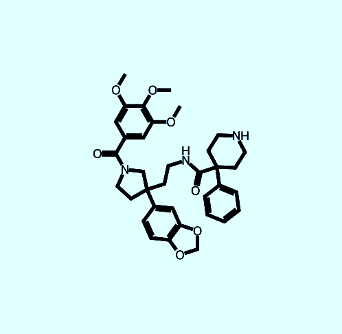 COc1cc(C(=O)N2CCC(CCNC(=O)C3(c4ccccc4)CCNCC3)(c3ccc4c(c3)OCO4)C2)cc(OC)c1OC